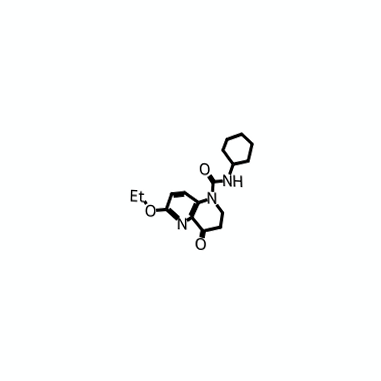 CCOc1ccc2c(n1)C(=O)CCN2C(=O)NC1CCCCC1